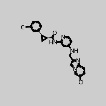 O=C(Nc1cc(NCc2cn3cc(Cl)ccc3n2)ccn1)[C@H]1C[C@@H]1c1cccc(Cl)c1